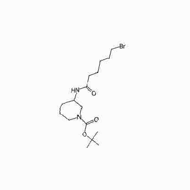 CC(C)(C)OC(=O)N1CCCC(NC(=O)CCCCCBr)C1